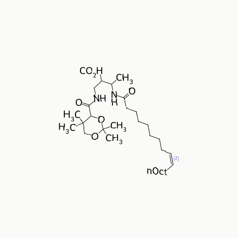 CCCCCCCC/C=C\CCCCCCCC(=O)NC(C)C(CNC(=O)C1OC(C)(C)OCC1(C)C)C(=O)O